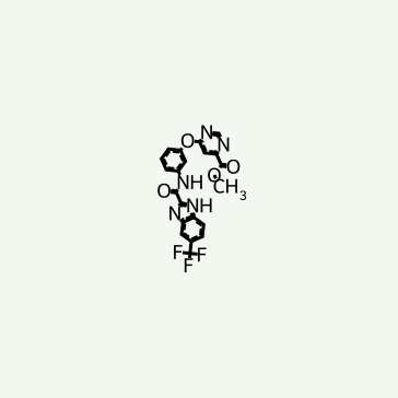 COC(=O)c1cc(Oc2cccc(NC(=O)c3nc4cc(C(F)(F)F)ccc4[nH]3)c2)ncn1